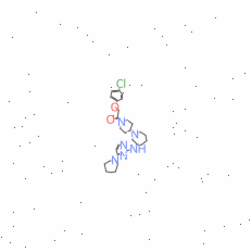 O=C(COc1ccc(Cl)cc1)N1CCC(N2CCCCC(Nc3nccc(N4CCCCCC4)n3)C2)CC1